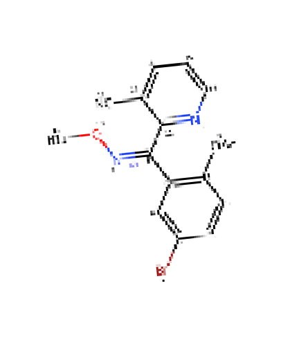 CC(=O)Oc1ccc(Br)cc1/C(=N/OC(C)(C)C)c1ncccc1C#N